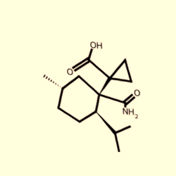 CC(C)[C@H]1CC[C@H](C)C[C@@]1(C(N)=O)C1(C(=O)O)CC1